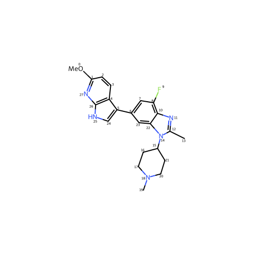 COc1ccc2c(-c3cc(F)c4nc(C)n(C5CCN(C)CC5)c4c3)c[nH]c2n1